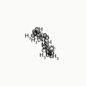 Cc1cc(Nc2ncc(Cl)c(Nc3ccccc3S(=O)(=O)N(C)C)n2)c2c(c1C1CCN(C(=O)O)C(C(C)(C)C)C1)OCO2